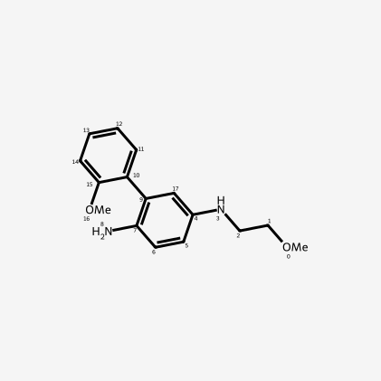 COCCNc1ccc(N)c(-c2ccccc2OC)c1